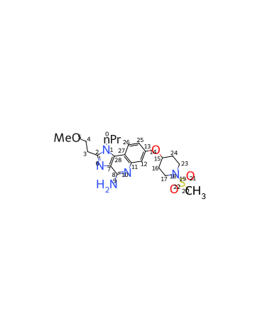 CCCn1c(CCOC)nc2c(N)nc3cc(OC4CCN(S(C)(=O)=O)CC4)ccc3c21